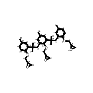 Cc1ccc(OCC2CO2)c(CC(C)(C)c2cc(C)cc(CC(C)(C)c3cc(C)ccc3OCC3CO3)c2OCC2CO2)c1